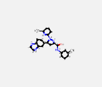 Cc1cccc(-n2nc(C(=O)Nc3cccc(C#N)c3)cc2-c2ccc3nccnc3c2)n1